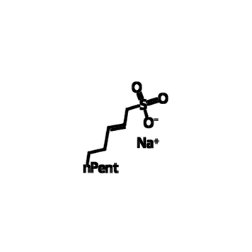 CCCCCCCC=CCS(=O)(=O)[O-].[Na+]